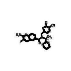 C[C@H](c1ncccn1)N(Cc1ccc(C#N)c(Cl)n1)C(=O)c1ccc2nc(N)c(I)cc2c1